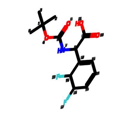 CC(C)(C)OC(=O)NC(C(=O)O)C1=CC=CC(F)C1F